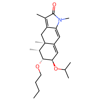 CCCCO[C@H]1[C@H](OC(C)C)C=C2C=C3C(=C(C)C(=O)N3C)C[C@]2(C)[C@H]1C